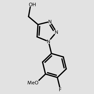 COc1cc(-n2cc(CO)nn2)ccc1F